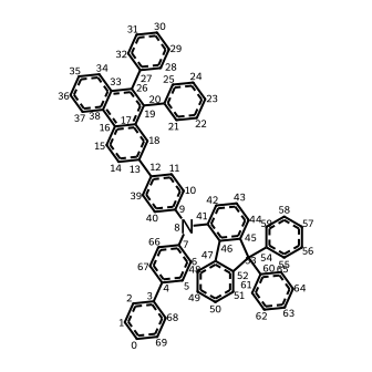 c1ccc(-c2ccc(N(c3ccc(-c4ccc5c(c4)c(-c4ccccc4)c(-c4ccccc4)c4ccccc45)cc3)c3cccc4c3-c3ccccc3C4(c3ccccc3)c3ccccc3)cc2)cc1